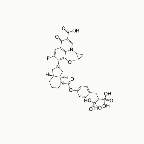 COc1c(N2C[C@H]3CCCN(C(=O)Oc4ccc(CC(P(=O)(O)O)P(=O)(O)O)cc4)[C@H]3C2)c(F)cc2c(=O)c(C(=O)O)cn(C3CC3)c12